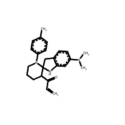 C=CC(=O)C1CCCN(c2ccc(C)cc2)C12Cc1ccc(N(C)C)cc1N2